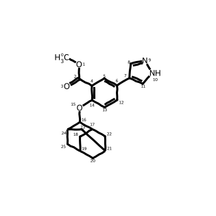 COC(=O)c1cc(-c2cn[nH]c2)ccc1OC1C2CC3CC(C2)CC1C3